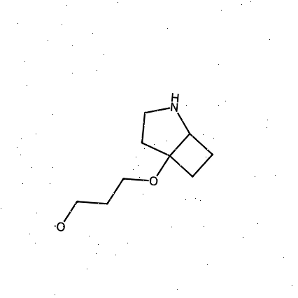 [O]CCCOC12CCNC1CC2